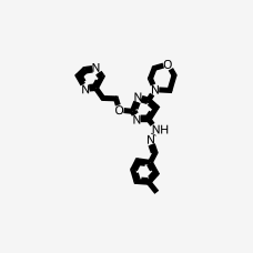 Cc1cccc(/C=N/Nc2cc(N3CCOCC3)nc(OCCc3cnccn3)n2)c1